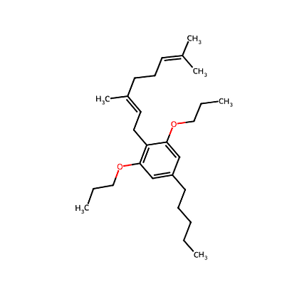 CCCCCc1cc(OCCC)c(C/C=C(\C)CCC=C(C)C)c(OCCC)c1